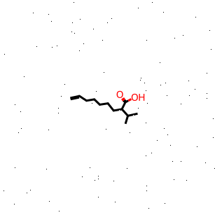 C=CCCCCCC(C(=O)O)C(C)C